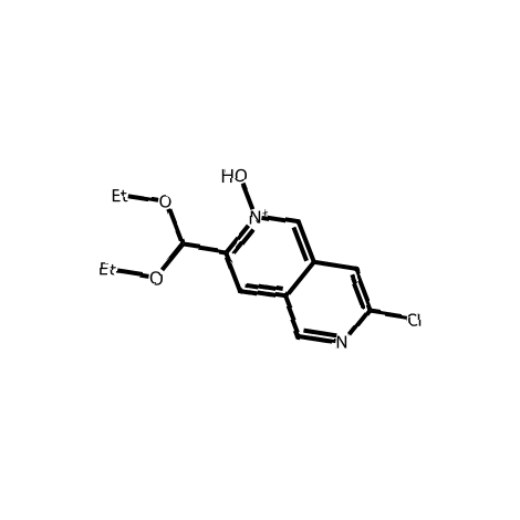 CCOC(OCC)c1cc2cnc(Cl)cc2c[n+]1O